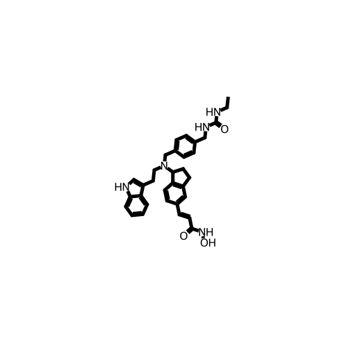 CCNC(=O)NCc1ccc(CN(CCc2c[nH]c3ccccc23)C2CCc3cc(/C=C/C(=O)NO)ccc32)cc1